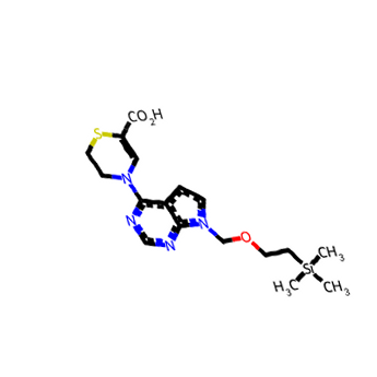 C[Si](C)(C)CCOCn1ccc2c(N3C=C(C(=O)O)SCC3)ncnc21